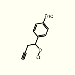 C#CCC(OCC)c1ccc(C=O)cc1